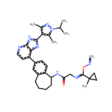 C=NO/C(=N\CC(=O)NC1CCCCc2cc(-c3ccnc4[nH]c(-c5c(C)nn(C(C)C)c5C)nc34)ccc21)C1(C)CC1